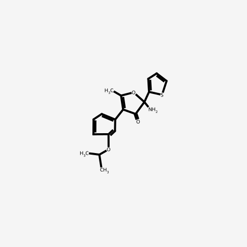 CC1=C(c2cccc(OC(C)C)c2)C(=O)C(N)(c2cccs2)O1